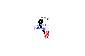 CCOP(=O)(CCCNc1nc(CC)nc2c1[nH]c1cc(OC)ccc12)OCC